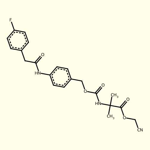 CC(C)(NC(=O)OCc1ccc(NC(=O)Cc2ccc(F)cc2)cc1)C(=O)OCC#N